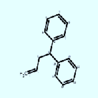 C=CCC(c1ccccc1)c1ccccc1